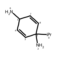 CC(C)C1(N)C=CC(N)C=C1